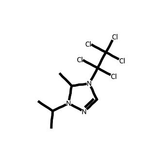 CC(C)N1N=CN(C(Cl)(Cl)C(Cl)(Cl)Cl)C1C